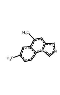 Cc1ccc2c(c1)c(C)cc1nncn12